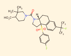 CC1(C)CN(C(=O)N2CC[C@@]3(S(=O)(=O)c4ccc(F)cc4)c4ccc(C(F)(C(F)(F)F)C(F)(F)F)cc4CC[C@@H]23)CCC1C(=O)O